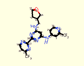 FC(F)(F)c1cc(Nc2cc(NCC3CCOC3)nc(-c3nccc(C(F)(F)F)n3)n2)ccn1